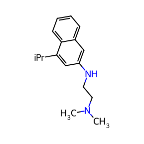 CC(C)c1cc(NCCN(C)C)cc2ccccc12